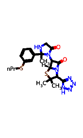 CCCSc1cccc(C2(C)NCC(=O)N2C2C(=O)N3C(c4nnn[nH]4)C(C)(C)S[C@H]23)c1